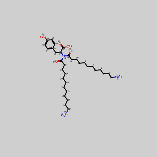 NCCCCCCCCCCCC(=O)N(C(=O)CCCCCCCCCCCN)C(Cc1ccc(O)cc1)C(=O)O